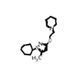 Cc1cc(OCCN2CCCCC2)nn1C1CCCCC1